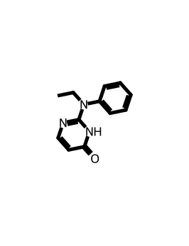 CCN(c1ccccc1)c1nccc(=O)[nH]1